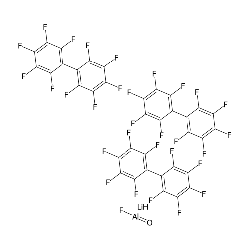 Fc1c(F)c(F)c(-c2c(F)c(F)c(F)c(F)c2F)c(F)c1F.Fc1c(F)c(F)c(-c2c(F)c(F)c(F)c(F)c2F)c(F)c1F.Fc1c(F)c(F)c(-c2c(F)c(F)c(F)c(F)c2F)c(F)c1F.[LiH].[O]=[Al][F]